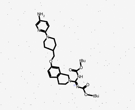 CC(C)(C)OC(=O)/N=C(\NC(=O)OC(C)(C)C)N1CCc2ccc(OCC3CCN(c4ccc(N)cn4)CC3)cc2C1